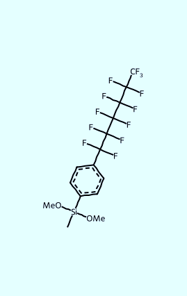 CO[Si](C)(OC)c1ccc(C(F)(F)C(F)(F)C(F)(F)C(F)(F)C(F)(F)C(F)(F)F)cc1